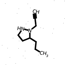 C#CCN1NCCC1CCC